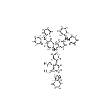 Cc1c(-c2ccc(-n3c4ccc(N(c5ccccc5)c5ccccc5)cc4c4cc(N(c5ccccc5)c5ccccc5)ccc43)cc2)ccc(-c2nc3ccccc3o2)c1C